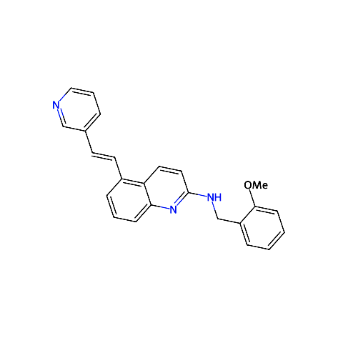 COc1ccccc1CNc1ccc2c(C=Cc3cccnc3)cccc2n1